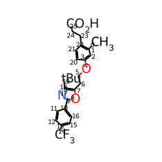 Cc1cc(OCCc2oc(-c3ccc(C(F)(F)F)cc3)nc2C(C)(C)C)ccc1CCC(=O)O